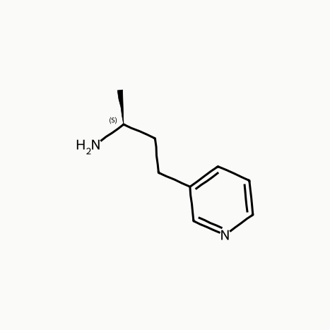 C[C@H](N)CCc1cccnc1